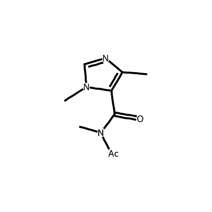 CC(=O)N(C)C(=O)c1c(C)ncn1C